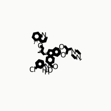 C[C@@H](COc1ccnc2c1[C@H](C)CCC2)C[C@H]1Cc2cc3c(cc2C12CCC(Nc1cccc(Cl)c1)(C(=O)O)CC2)OCC(CN1CCN(C)CC1)CO3